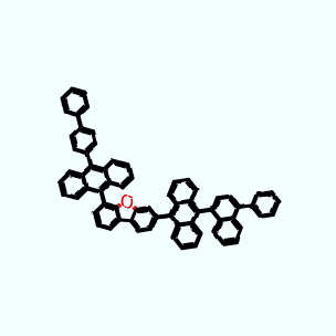 c1ccc(-c2ccc(-c3c4ccccc4c(-c4cccc5c4oc4cc(-c6c7ccccc7c(-c7ccc(-c8ccccc8)c8ccccc78)c7ccccc67)ccc45)c4ccccc34)cc2)cc1